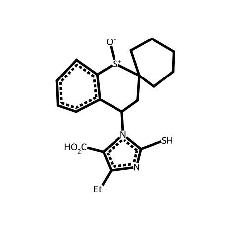 CCc1nc(S)n(C2CC3(CCCCC3)[S+]([O-])c3ccccc32)c1C(=O)O